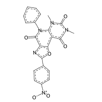 Cn1c(=O)c2c3oc(-c4ccc([N+](=O)[O-])cc4)nc3c(=O)n(-c3ccccc3)c2n(C)c1=O